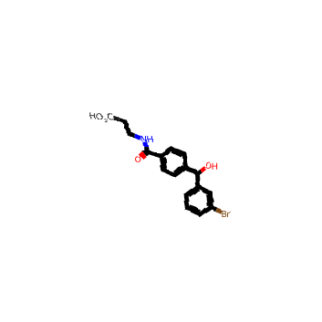 O=C(O)CCNC(=O)c1ccc(C(O)c2cccc(Br)c2)cc1